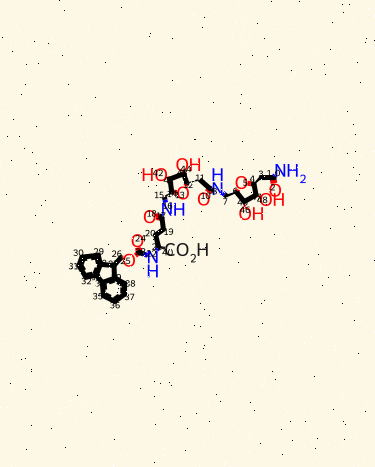 NC(=O)C[C@@H]1O[C@H](CNC(=O)C[C@@H]2O[C@H](CNC(=O)CC[C@H](NC(=O)OCC3c4ccccc4-c4ccccc43)C(=O)O)[C@@H](O)[C@H]2O)[C@@H](O)[C@H]1O